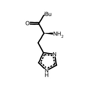 CCC(C)C(=O)[C@@H](N)Cc1c[nH]cn1